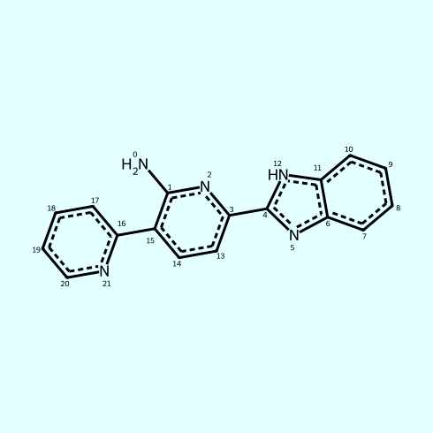 Nc1nc(-c2nc3ccccc3[nH]2)ccc1-c1ccccn1